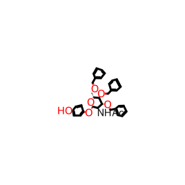 CC(=O)N[C@@H]1[C@@H](Oc2ccc(O)cc2)O[C@H](COCc2ccccc2)[C@@H](OCc2ccccc2)[C@@H]1OCc1ccccc1